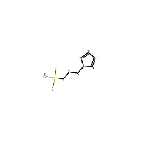 ClS(Cl)(Cl)CCCC1C=CC=C1